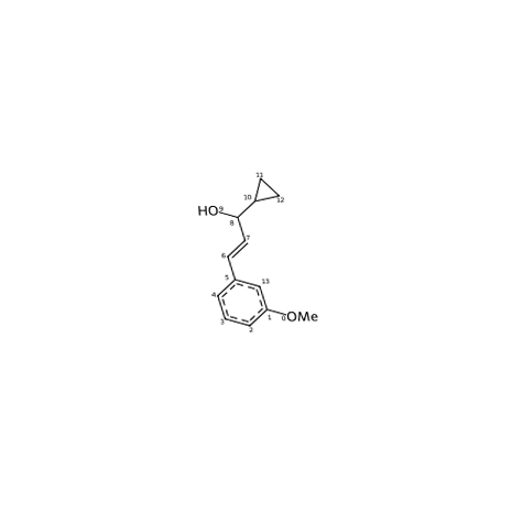 COc1cccc(C=CC(O)C2CC2)c1